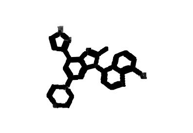 Cc1nc2c(-c3cc[nH]n3)cc(N3CCOCC3)cc2n1-c1ccnc2c(Cl)cccc12